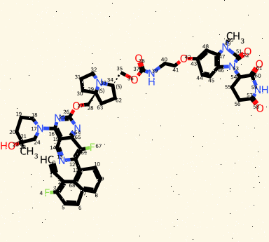 C#Cc1c(F)ccc2cccc(-c3ncc4c(N5CCC[C@@](C)(O)C5)nc(OC[C@@]56CCCN5[C@H](COC(=O)NCCOc5ccc7c(c5)n(C)c(=O)n7C5CCC(=O)NC5=O)CC6)nc4c3F)c12